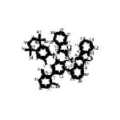 Cc1cc2c(cc1N1c3cc(-c4c(C)cccc4C)cc4c3B(c3oc5ccccc5c31)n1c3c-4cccc3c3oc4ccccc4c31)C(C)(C)CCC2(C)C